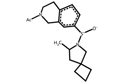 CC(=O)N1CCc2ccc([S+]([O-])N3CC4(CCC4)CC3C)cc2C1